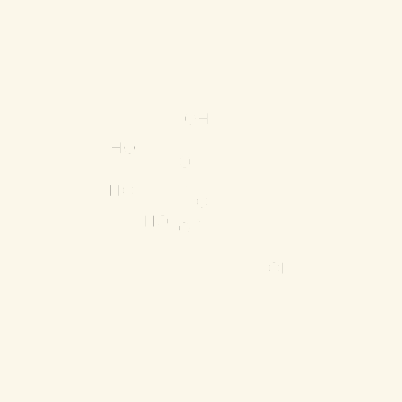 Cc1cc(C(=O)OC2OC(CO)C(O)C(O)C2O)ccc1O